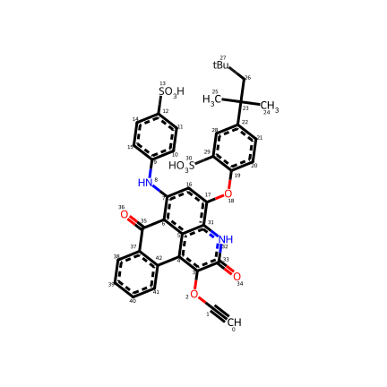 C#COc1c2c3c(c(Nc4ccc(S(=O)(=O)O)cc4)cc(Oc4ccc(C(C)(C)CC(C)(C)C)cc4S(=O)(=O)O)c3[nH]c1=O)C(=O)c1ccccc1-2